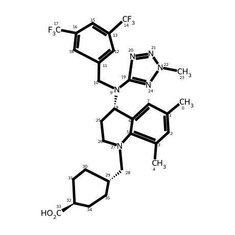 Cc1cc(C)c2c(c1)[C@@H](N(Cc1cc(C(F)(F)F)cc(C(F)(F)F)c1)c1nnn(C)n1)CCN2C[C@H]1CC[C@H](C(=O)O)CC1